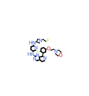 FCCN1CC(Nc2ccc(Nc3ncc4ccnc(-c5cc(OCCN6CCOCC6)ccc5F)c4n3)cn2)C1